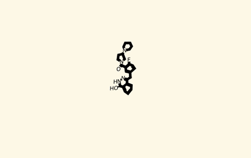 O=C(c1cc(CC2=NN[C@H](O)c3ccccc32)ccc1F)N1CCC(N2CCCCC2)C1